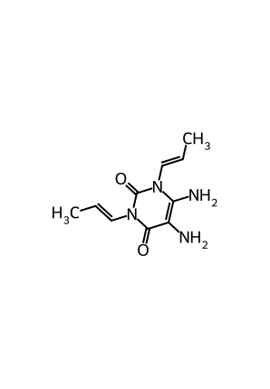 CC=Cn1c(N)c(N)c(=O)n(C=CC)c1=O